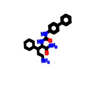 NCCC(C1CCCCC1)C(NC(=O)Nc1ccc(-c2ccccc2)cc1)C(N)=O